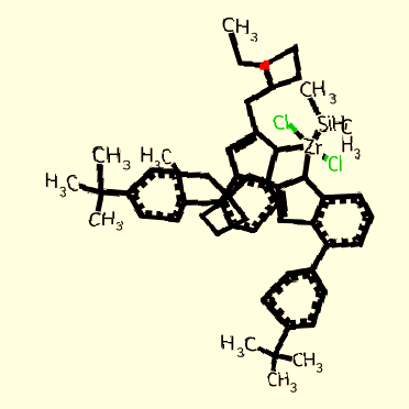 CCCC1(CC2=Cc3c(-c4ccc(C(C)(C)C)cc4)cccc3[CH]2[Zr]([Cl])([Cl])([CH]2C(CC3(CCC)CCC3)=Cc3c(-c4ccc(C(C)(C)C)cc4)cccc32)[SiH](C)C)CCC1